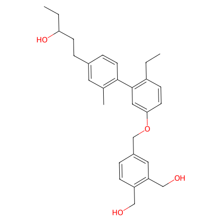 CCc1ccc(OCc2ccc(CO)c(CO)c2)cc1-c1ccc(CCC(O)CC)cc1C